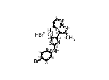 Br.Cc1nc2ncccn2c1-c1nc(Nc2ccc(Br)cc2)sc1C